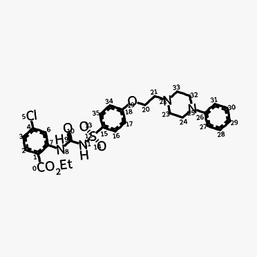 CCOC(=O)c1ccc(Cl)cc1NC(=O)NS(=O)(=O)c1ccc(OCCN2CCN(c3ccccc3)CC2)cc1